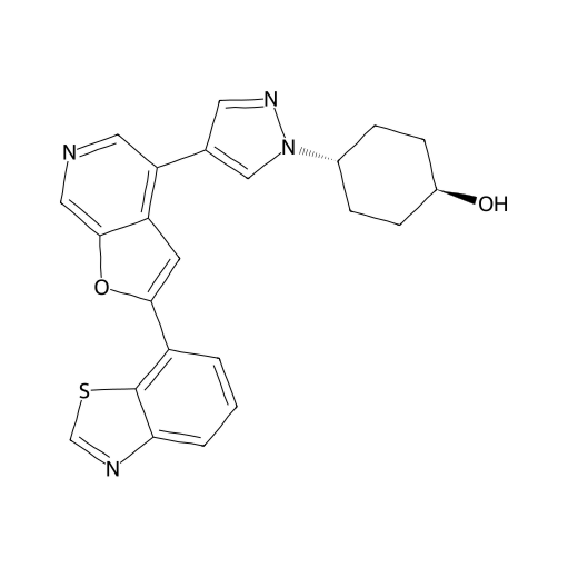 O[C@H]1CC[C@H](n2cc(-c3cncc4oc(-c5cccc6ncsc56)cc34)cn2)CC1